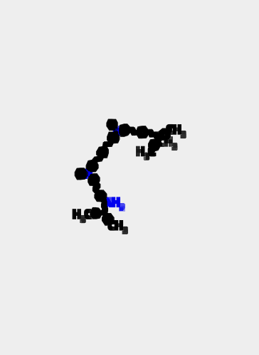 CC1=CCC(C)(C(=C/C=C/c2ccc(/C=C/c3ccc(N(c4ccccc4)c4ccc(C=Cc5ccc(/C=C/c6ccc(N(c7ccccc7)c7ccc(/C=C/c8ccc(/C(N)=C/C=C(c9ccc(C)cc9)c9ccc(C)cc9)cc8)cc7)cc6)cc5)cc4)cc3)cc2)c2ccc(C)cc2)C=C1